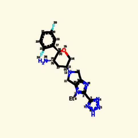 CCn1c(-c2nn[nH]n2)nc2c1CN([C@H]1CO[C@H](c3cc(F)ccc3F)[C@@H](N)C1)C2